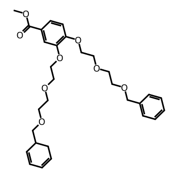 COC(=O)c1ccc(OCCOCCOCc2ccccc2)c(OCCOCCOCC2C=CC=CC2)c1